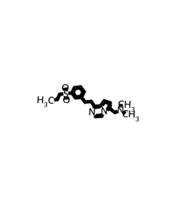 CCCS(=O)(=O)c1cccc(CCc2nccn3c(CN(C)C)ccc23)c1